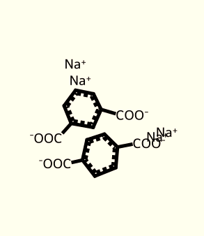 O=C([O-])c1ccc(C(=O)[O-])cc1.O=C([O-])c1cccc(C(=O)[O-])c1.[Na+].[Na+].[Na+].[Na+]